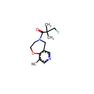 CC(C)(CF)C(=O)N1CCOc2c(C#N)cncc2C1